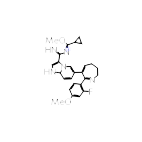 CO/C(=N\C(=N)C1=CNC2C=CC(C3=CCCCN=C3c3ccc(OC)cc3F)=CN12)C1CC1